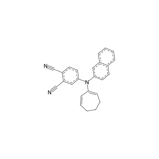 N#Cc1ccc(N(C2=CCCCC=C2)c2ccc3ccccc3c2)cc1C#N